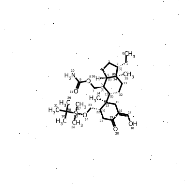 CC[C@H]1CC[C@H]2[C@H](COC(N)=O)[C@@H]([C@@]3(C)CC(=CO)C(=O)C[C@@H]3CO[Si](C)(C)C(C)(C)C)CC[C@]12C